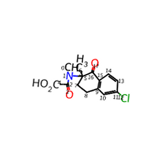 CN(C(=O)C(=O)O)C1(C)CCc2cc(Cl)ccc2C1=O